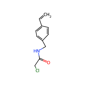 C=Cc1ccc(CNC(=O)CCl)cc1